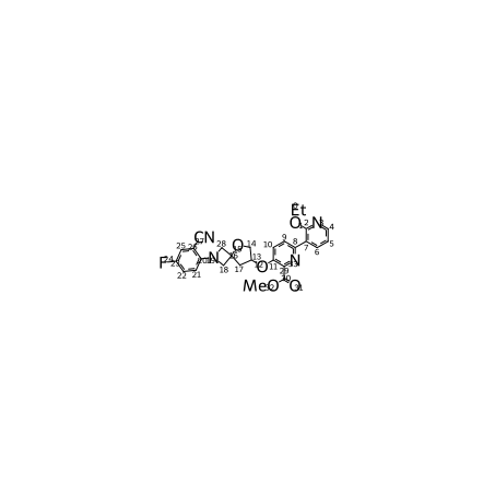 CCOc1ncccc1-c1ccc(OC2COC3(C2)CN(c2ccc(F)cc2C#N)C3)c(C(=O)OC)n1